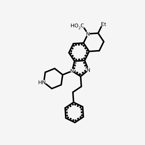 CCC1CCc2c(ccc3c2nc(CCc2ccccc2)n3C2CCNCC2)N1C(=O)O